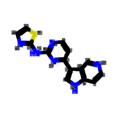 c1cc2[nH]cc(-c3ccnc(Nc4nccs4)n3)c2cn1